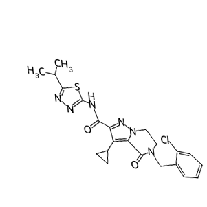 CC(C)c1nnc(NC(=O)c2nn3c(c2C2CC2)C(=O)N(Cc2ccccc2Cl)CC3)s1